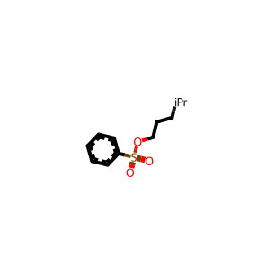 CC(C)CCCOS(=O)(=O)c1ccccc1